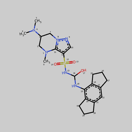 CN1CC(N(C)C)Cn2ncc(S(=O)(=O)NC(O)Nc3c4c(cc5c3CCC5)CCC4)c21